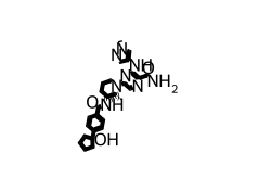 C[C@@H]1[C@H](NC(=O)c2ccc(C3(O)CCCC3)cc2)CCCN1c1cnc(C(N)=O)c(Nc2cnn(C)c2)n1